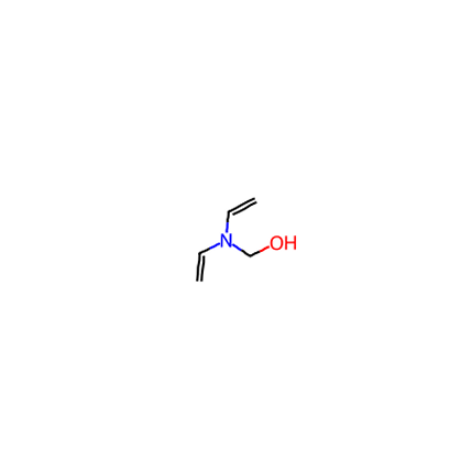 C=CN(C=C)CO